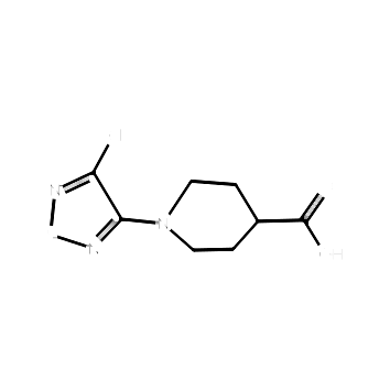 O=C(O)C1CCN(c2nsnc2Cl)CC1